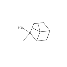 CC1(S)CCC2CC1C2(C)C